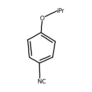 [C-]#[N+]c1ccc(OC(C)C)cc1